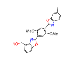 COc1cc(-c2nc3c(CO)cccc3o2)c(OC)cc1-c1nc2ccc(C)cc2o1